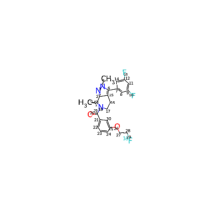 C[C@H]1c2nn(C)c(-c3cc(F)cc(F)c3)c2CCN1C(=O)c1cccc(OCC[18F])c1